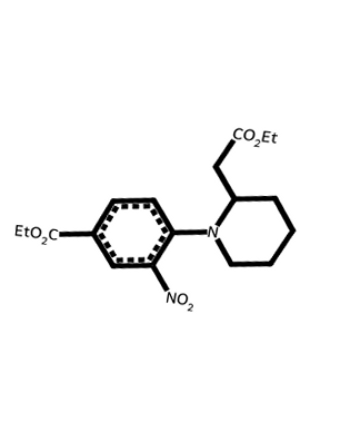 CCOC(=O)CC1CCCCN1c1ccc(C(=O)OCC)cc1[N+](=O)[O-]